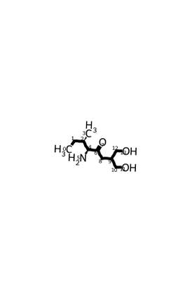 CC[C@H](C)[C@H](N)C(=O)CC(CO)CO